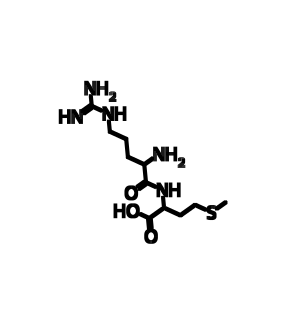 CSCCC(NC(=O)C(N)CCCNC(=N)N)C(=O)O